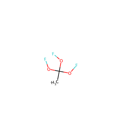 [CH2]C(OF)(OF)OF